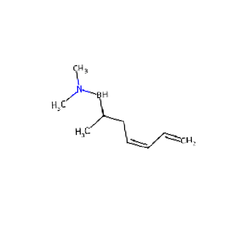 C=C/C=C\CC(C)BN(C)C